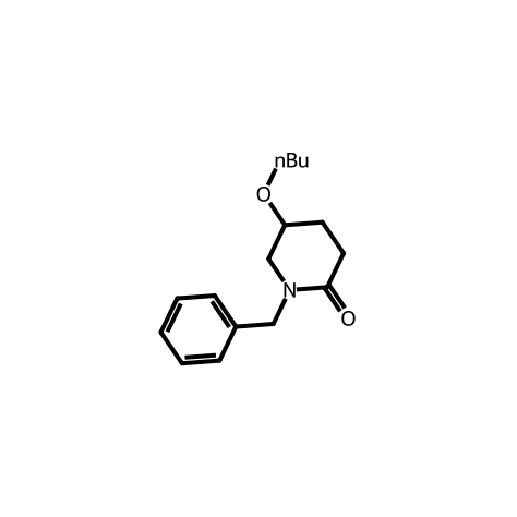 CCCCOC1CCC(=O)N(Cc2ccccc2)C1